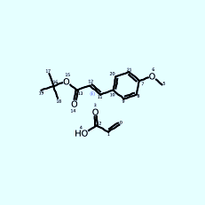 C=CC(=O)O.COc1ccc(/C=C/C(=O)OC(C)(C)C)cc1